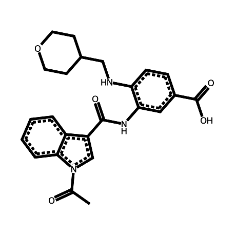 CC(=O)n1cc(C(=O)Nc2cc(C(=O)O)ccc2NCC2CCOCC2)c2ccccc21